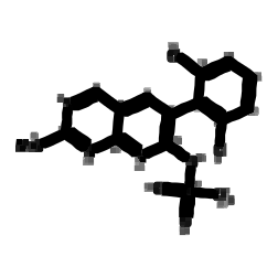 CSc1ncc2cc(-c3c(Cl)cccc3Cl)c(OS(=O)(=O)C(F)(F)F)nc2n1